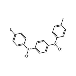 Cc1ccc([S+]([O-])c2ccc([S+]([O-])c3ccc(I)cc3)cc2)cc1